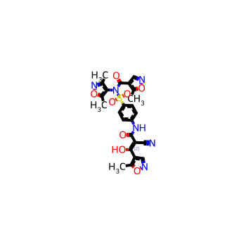 Cc1noc(C)c1N(C(=O)c1cnoc1C)S(=O)(=O)c1ccc(NC(=O)/C(C#N)=C(\O)c2cnoc2C)cc1